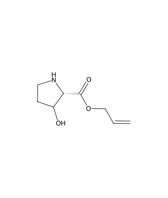 C=CCOC(=O)[C@H]1NCCC1O